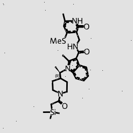 CSc1cc(C)[nH]c(=O)c1CNC(=O)c1c(C)n([C@H](C)C2CCN(C(=O)C[Si](C)(C)C)CC2)c2ccccc12